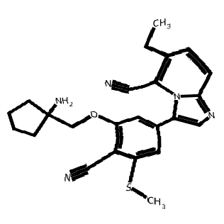 CCc1ccc2ncc(-c3cc(OCC4(N)CCCC4)c(C#N)c(SC)c3)n2c1C#N